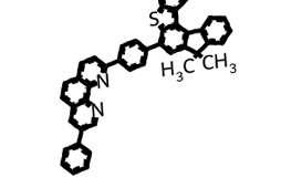 CC1(C)c2ccccc2-c2c1cc(-c1ccc(-c3ccc4ccc5cc(-c6ccccc6)cnc5c4n3)cc1)c1sc3ccccc3c21